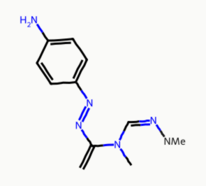 C=C(N=Nc1ccc(N)cc1)N(C)/C=N\NC